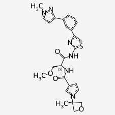 COC[C@H](NC(=O)c1ccn(C2(C)COC2)c1)C(=O)Nc1nc(-c2cccc(-c3ccn(C)n3)c2)cs1